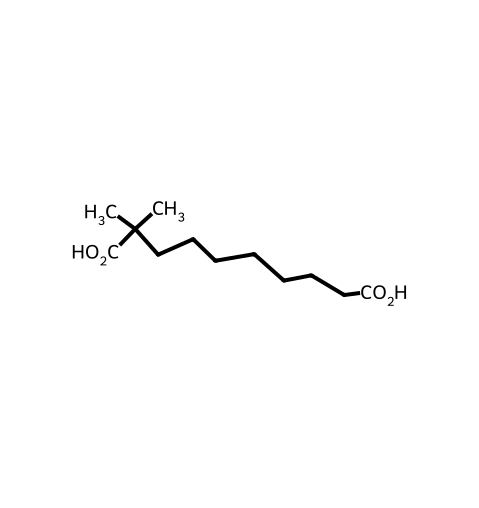 CC(C)(CCCCCCCC(=O)O)C(=O)O